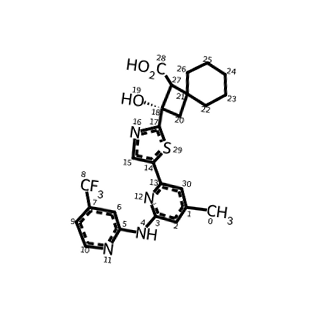 Cc1cc(Nc2cc(C(F)(F)F)ccn2)nc(-c2cnc([C@]3(O)CC4(CCCCC4)C3C(=O)O)s2)c1